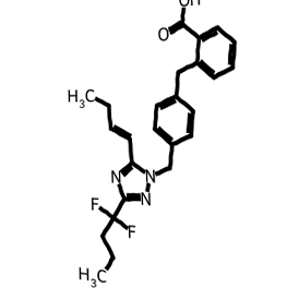 CCC=Cc1nc(C(F)(F)CCC)nn1Cc1ccc(Cc2ccccc2C(=O)O)cc1